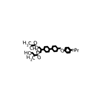 C=C(C)C(=O)OCC(COC(=O)C(=C)CO)C1CCC(C2CCC(COc3ccc(CCC)cc3)CC2)CC1